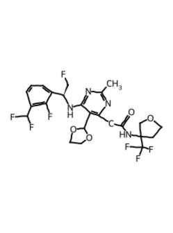 Cc1nc(CC(=O)NC2(C(F)(F)F)CCOC2)c(C2OCCO2)c(N[C@H](CF)c2cccc(C(F)F)c2F)n1